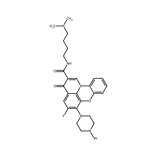 CC(C)N1CCN(c2c(F)cc3c(=O)c(C(=O)NCCCCN(C)C)cn4c3c2Oc2ccccc2-4)CC1